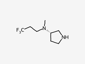 CN(CCC(F)(F)F)[C@H]1CCNC1